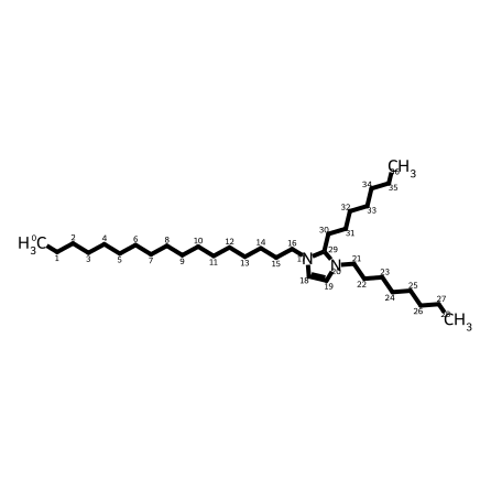 CCCCCCCCCCCCCCCCCN1C=CN(CCCCCCCC)C1CCCCCCC